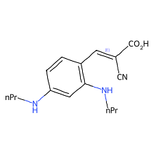 CCCNc1ccc(/C=C(\C#N)C(=O)O)c(NCCC)c1